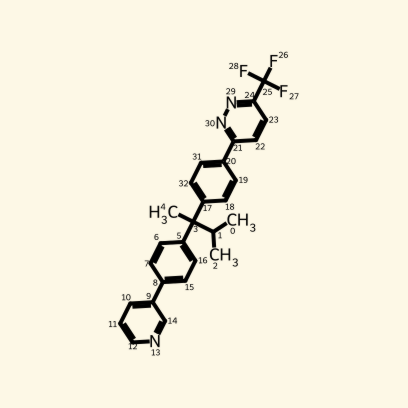 CC(C)C(C)(c1ccc(-c2cccnc2)cc1)c1ccc(-c2ccc(C(F)(F)F)nn2)cc1